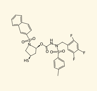 Cc1ccc(S(=O)(=O)N(Cc2cc(F)c(F)cc2F)NC(=O)O[C@H]2C[C@@H](S)CN2S(=O)(=O)c2ccc3ccccc3c2)cc1